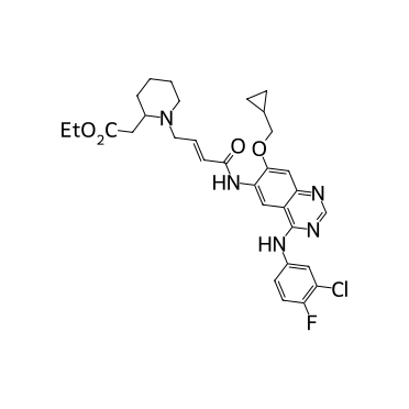 CCOC(=O)CC1CCCCN1C/C=C/C(=O)Nc1cc2c(Nc3ccc(F)c(Cl)c3)ncnc2cc1OCC1CC1